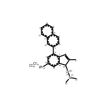 CC1=Cc2c(-c3ccc4ccccc4c3)cc(C(C)C)cc2[CH]1[Zr+2][Si](C)C.[Cl-].[Cl-]